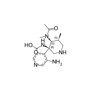 CC(=O)N(C)[C@H]1[C@@H](C)CNC[C@]1(NC(=O)O)c1ccncc1N